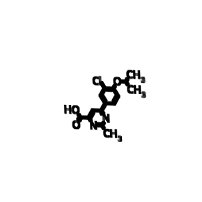 Cc1nc(C(=O)O)cc(-c2ccc(OC(C)C)c(Cl)c2)n1